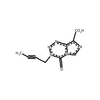 CC#CCn1nnc2c(C(=O)O)ncn2c1=O